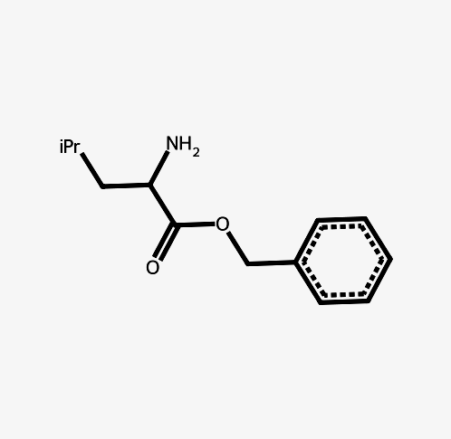 CC(C)CC(N)C(=O)OCc1ccccc1